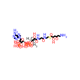 CC(C)(COP(=O)(O)OP(=O)(O)OC[C@H]1O[C@@H](n2cnc3c(N)ncnc32)[C@H](O)[C@@H]1OP(=O)(O)O)[C@@H](O)C(=O)NCCC(=O)NCCSC(=O)C(O)CC(=O)CCN